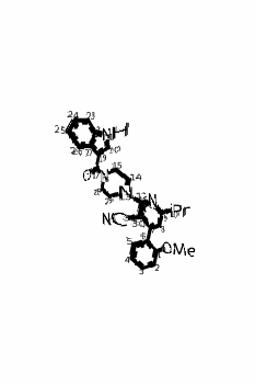 COc1ccccc1-c1cc(C(C)C)nc(N2CCN(C(=O)c3c[nH]c4ccccc34)CC2)c1C#N